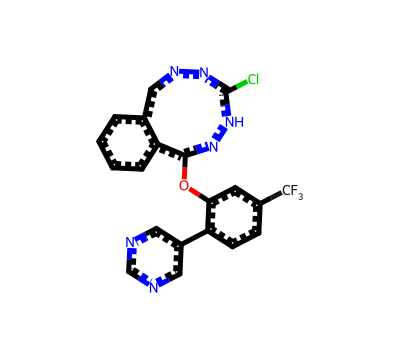 FC(F)(F)c1ccc(-c2cncnc2)c(Oc2n[nH]c(Cl)nncc3ccccc23)c1